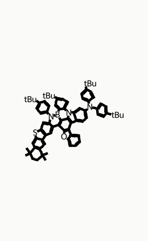 CC(C)(C)c1ccc(N2B3c4cc(C(C)(C)C)ccc4-n4c5cc(N(c6ccc(C(C)(C)C)cc6)c6ccc(C(C)(C)C)cc6)ccc5c5c6c(oc7ccccc76)c(c3c54)-c3cc4c(cc32)sc2cc3c(cc24)C(C)(C)CCC3(C)C)cc1